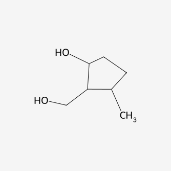 CC1CCC(O)C1CO